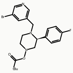 CC(C)(C)C(=O)ON1CCN(Cc2cncc(Br)c2)[C@@H](c2ccc(F)cc2)C1